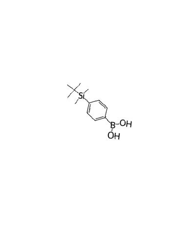 CC(C)(C)[Si](C)(C)c1ccc(B(O)O)cc1